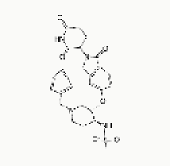 CS(=O)(=O)N[C@H]1CCN(Cc2ccccc2)C[C@@H]1Oc1ccc2c(c1)CN(C1CCC(=O)NC1=O)C2=O